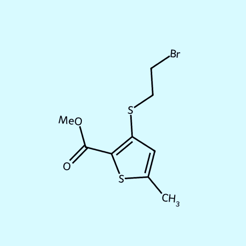 COC(=O)c1sc(C)cc1SCCBr